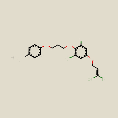 O=C(O)c1ccc(OCCCOc2c(Cl)cc(OCC=C(Br)Br)cc2Cl)cc1